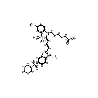 Cc1ccc2c(c1)C(C)(C)/C(=C\C=C\c1sc3cc(S(=O)(=O)N4CCCCC4)ccc3[n+]1C)N2CCCCCC(=O)O